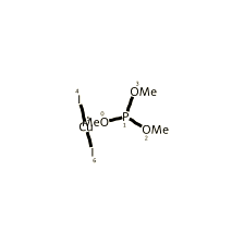 COP(OC)OC.[I][Cu][I]